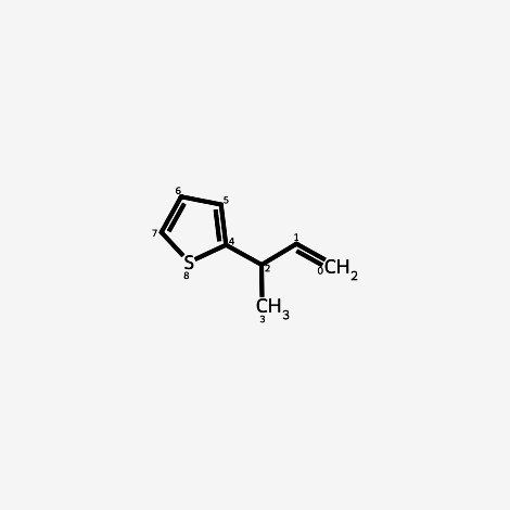 C=CC(C)c1cccs1